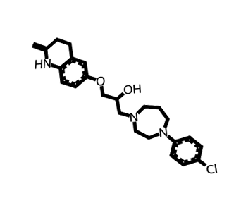 C=C1CCc2cc(OCC(O)CN3CCCN(c4ccc(Cl)cc4)CC3)ccc2N1